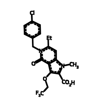 CCc1cc2c(c(OCC(F)(F)F)c(C(=O)O)n2C)c(=O)n1Cc1ccc(Cl)cc1